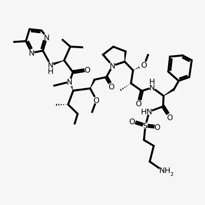 CC[C@H](C)[C@@H]([C@@H](CC(=O)N1CCC[C@H]1[C@H](OC)[C@@H](C)C(=O)N[C@@H](Cc1ccccc1)C(=O)NS(=O)(=O)CCCN)OC)N(C)C(=O)[C@@H](Nc1nccc(C)n1)C(C)C